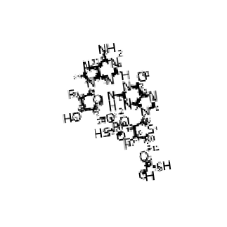 Nc1nc2c(ncn2[C@@H]2S[C@H](CO[PH](=O)S)[C@@H](F)[C@H]2OP(=O)(S)OC[C@H]2O[C@@H](n3cnc4c(N)ncnc43)[C@@H](F)[C@@H]2O)c(=O)[nH]1